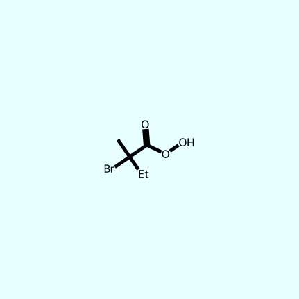 CCC(C)(Br)C(=O)OO